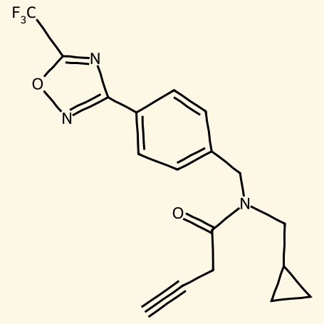 C#CCC(=O)N(Cc1ccc(-c2noc(C(F)(F)F)n2)cc1)CC1CC1